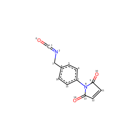 O=C=NCc1ccc(N2C(=O)C=CC2=O)cc1